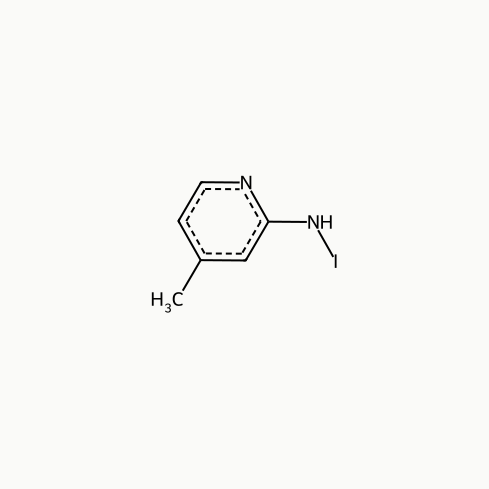 Cc1ccnc(NI)c1